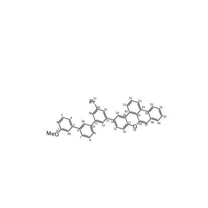 COc1cccc(-c2cccc(-c3cc(-c4ccc5c(c4)-c4cccc6c4c(cc4ccccc46)O5)cc(C(C)C)c3)c2)c1